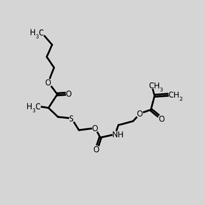 C=C(C)C(=O)OCCNC(=O)OCSCC(C)C(=O)OCCCC